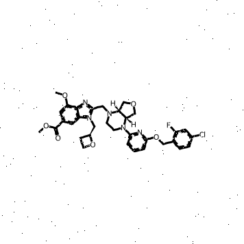 COC(=O)c1cc(OC)c2nc(CN3CCN(c4cccc(OCc5ccc(Cl)cc5F)n4)[C@H]4COC[C@H]43)n(C[C@@H]3CCO3)c2c1